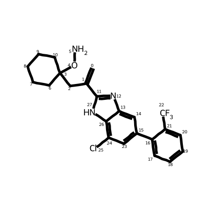 C=C(CC1(ON)CCCCC1)c1nc2cc(-c3ccccc3C(F)(F)F)cc(Cl)c2[nH]1